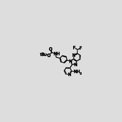 CC(C)(C)OC(=O)NCc1ccc(-n2c(-c3cccnc3N)nc3ccc(C(F)F)nc32)cc1